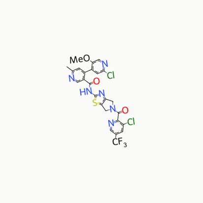 COc1cnc(Cl)cc1-c1cc(C)ncc1C(=O)Nc1nc2c(s1)CN(C(=O)c1ncc(C(F)(F)F)cc1Cl)C2